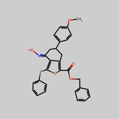 COc1ccc(C2C/C(=N\O)c3c(Sc4ccccc4)sc(C(=O)OCc4ccccc4)c3C2)cc1